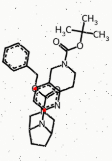 CC(C)(C)OC(=O)N1CCc2nc(N3C4CCC3CN(C(=O)OCc3ccccc3)C4)ccc2C1